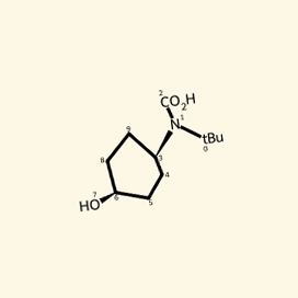 CC(C)(C)N(C(=O)O)[C@H]1CC[C@@H](O)CC1